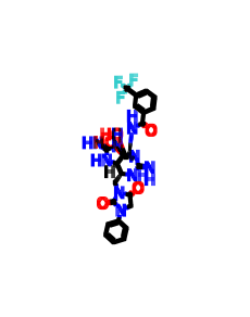 N=C1N[C@H]2[C@H](CN3C(=O)CN(c4ccccc4)C3=O)NC(=N)N3C[C@H](NC(=O)c4cccc(C(F)(F)F)c4)C(O)(O)[C@]23N1